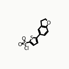 O=S(=O)(Cl)c1ccc(-c2ccc3c(c2)CCO3)s1